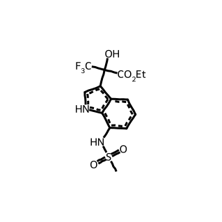 CCOC(=O)C(O)(c1c[nH]c2c(NS(C)(=O)=O)cccc12)C(F)(F)F